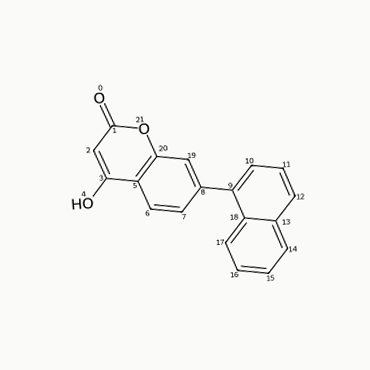 O=c1cc(O)c2ccc(-c3cccc4ccccc34)cc2o1